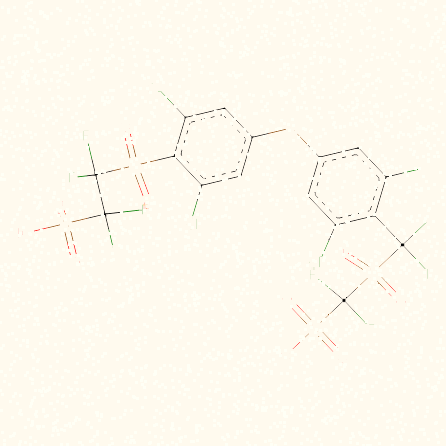 O=S(=O)(O)C(F)(F)C(F)(F)S(=O)(=O)c1c(Cl)cc(Sc2cc(Cl)c(C(F)(F)S(=O)(=O)C(F)(F)S(=O)(=O)O)c(Cl)c2)cc1Cl